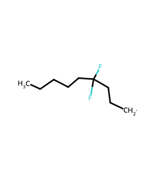 [CH2]CCC(F)(F)CCCCC